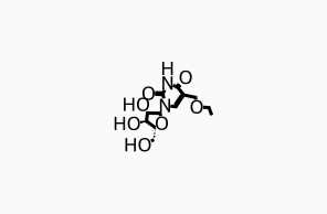 CCOCc1cn([C@@H]2O[C@H](CO)[C@@H](O)[C@H]2O)c(=O)[nH]c1=O